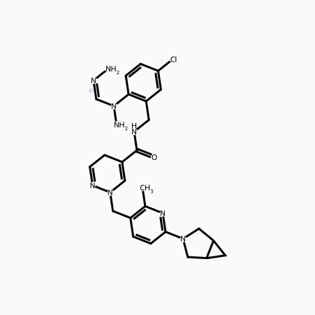 Cc1nc(N2CC3CC3C2)ccc1CN1C=C(C(=O)NCc2cc(Cl)ccc2N(N)/C=N\N)CC=N1